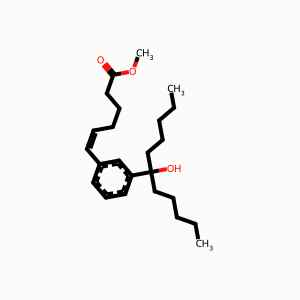 CCCCCC(O)(CCCCC)c1cccc(/C=C\CCCC(=O)OC)c1